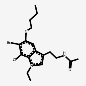 CCCCOc1cc2c(CCNC(C)=O)cn(CC)c2c(Cl)c1Br